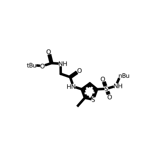 CCCCNS(=O)(=O)c1cc(NC(=O)CNC(=O)OC(C)(C)C)c(C)s1